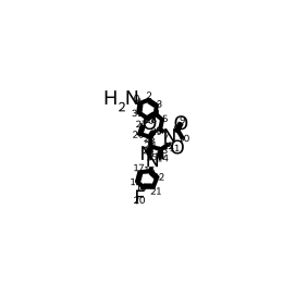 Nc1ccc(CCN2C(=O)COC2c2cn(-c3ccc(F)cc3)nc2-c2ccoc2)cc1